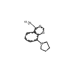 Nc1ncnc2c(N3CCCC3)cccc12